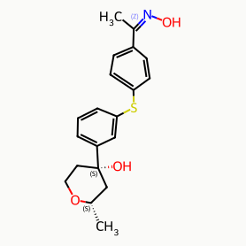 C/C(=N/O)c1ccc(Sc2cccc([C@]3(O)CCO[C@@H](C)C3)c2)cc1